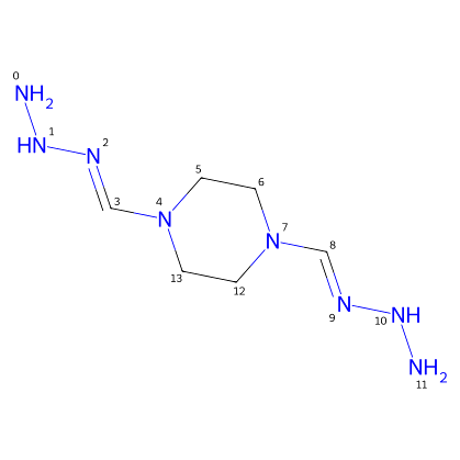 NNN=CN1CCN(C=NNN)CC1